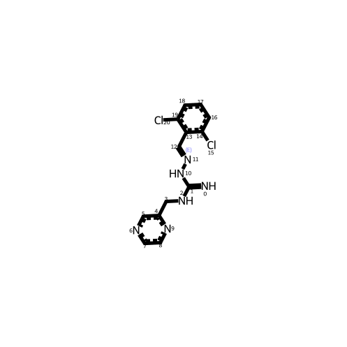 N=C(NCc1cnccn1)N/N=C/c1c(Cl)cccc1Cl